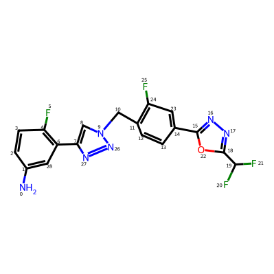 Nc1ccc(F)c(-c2cn(Cc3ccc(-c4nnc(C(F)F)o4)cc3F)nn2)c1